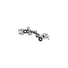 CC(C)Oc1ccccc1N1CCN(CCNC(=O)CN2C(=O)C3CC(O)C(O)CC3C2=O)CC1